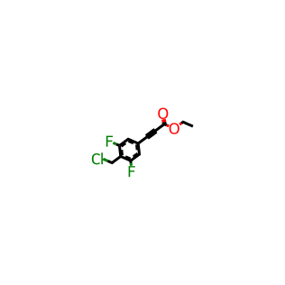 CCOC(=O)C#Cc1cc(F)c(CCl)c(F)c1